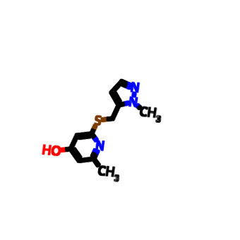 Cc1cc(O)cc(SCc2ccnn2C)n1